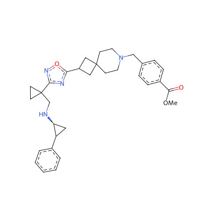 COC(=O)c1ccc(CN2CCC3(CC2)CC(c2nc(C4(CN[C@H]5CC5c5ccccc5)CC4)no2)C3)cc1